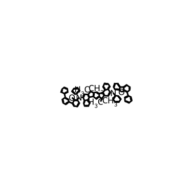 CC1(C)c2cc3c(cc2-c2c1cc(N(c1ccccc1)c1cccc4c1oc1c(-c5ccccc5)cccc14)c1ccccc21)C(C)(C)c1cc(N(c2ccccc2)c2cccc4c2oc2c(-c5ccccc5)cccc24)c2ccccc2c1-3